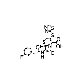 O=C(Cc1cccc(F)c1)N[C@@H]1C(=O)N2C(C(=O)O)=C(Sc3nncs3)CS[C@H]12